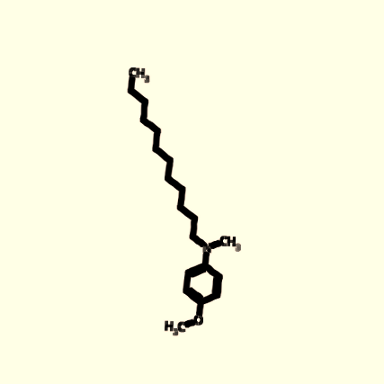 CCCCCCCCCCCCN(C)c1ccc(OC)cc1